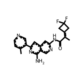 CC(C(=O)Nc1cc2cc(-c3cnccc3C)nc(N)c2cn1)=C1CC(F)(F)C1